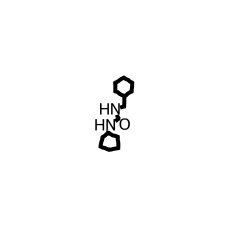 O=C(NCC1CCCCC1)NC1CCCCC1